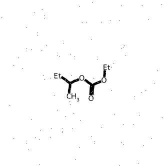 C[CH]OC(=O)OC(C)CC